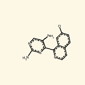 Nc1ncc(N)c(-c2nccc3ccc(Cl)cc23)n1